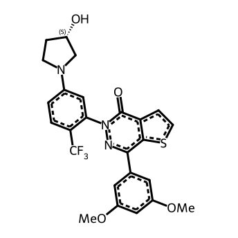 COc1cc(OC)cc(-c2nn(-c3cc(N4CC[C@H](O)C4)ccc3C(F)(F)F)c(=O)c3ccsc23)c1